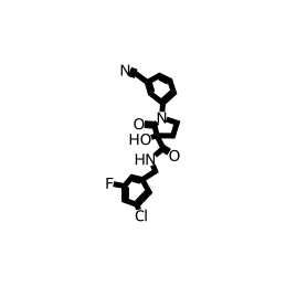 N#Cc1cccc(N2CCC(O)(C(=O)NCc3cc(F)cc(Cl)c3)C2=O)c1